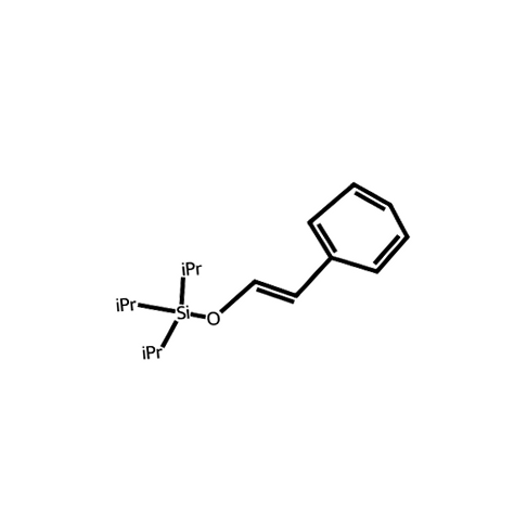 CC(C)[Si](OC=Cc1ccccc1)(C(C)C)C(C)C